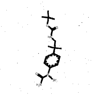 CC(C)(C)OC(=O)NCC(C)(C)c1ccc(N(S)C(N)=O)cc1